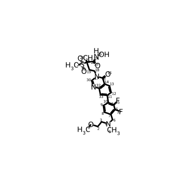 COCCN(C)Cc1ccc(-c2ccc3c(=O)n(CCC(C)(C(=O)NO)S(C)(=O)=O)cnc3c2)c(F)c1F